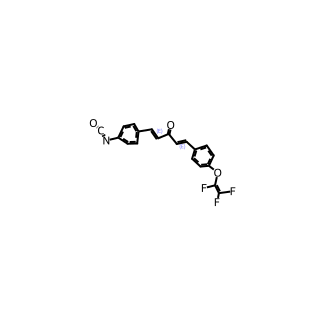 O=C=Nc1ccc(/C=C/C(=O)/C=C/c2ccc(OC(F)=C(F)F)cc2)cc1